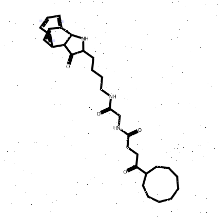 O=C(CCC(=O)C1CCCCCCCC1)NCC(=O)NCCCCC1NC2/C3=C/C=C\C=C(C=C3)\C2C1=O